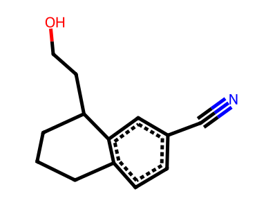 N#Cc1ccc2c(c1)C(CCO)CCC2